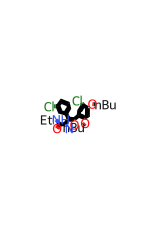 CCCCOc1cc(OCCCC)c(-c2onc(C(=O)NCC)c2-c2cccc(Cl)c2)cc1Cl